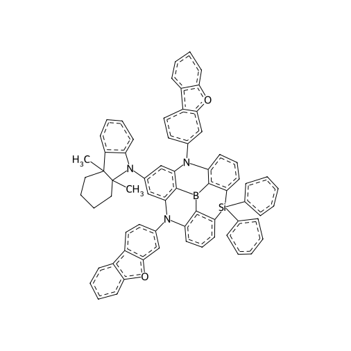 CC12CCCCC1(C)N(c1cc3c4c(c1)N(c1ccc5c(c1)oc1ccccc15)c1cccc5c1B4c1c(cccc1[Si]5(c1ccccc1)c1ccccc1)N3c1ccc3c(c1)oc1ccccc13)c1ccccc12